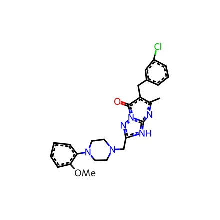 COc1ccccc1N1CCN(Cc2nn3c(=O)c(Cc4cccc(Cl)c4)c(C)nc3[nH]2)CC1